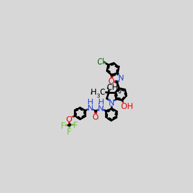 CC1(C)CN(c2ccccc2NC(=O)Nc2ccc(OC(F)(F)F)cc2)c2c(O)ccc(-c3nc4ccc(Cl)cc4o3)c21